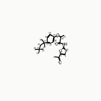 CC(=O)c1cnc(NC(=O)C(C)Oc2ccc(C(C)(C)CC(C)(C)C)cc2)o1